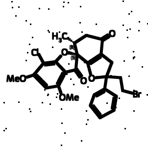 COc1cc(OC)c2c(c1Cl)O[C@]1(C2=O)C2=C(CC(CCBr)(c3ccccc3)O2)C(=O)C[C@H]1C